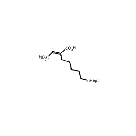 CCCCCCCCCCCC/C(=C\C(=O)O)C(=O)O